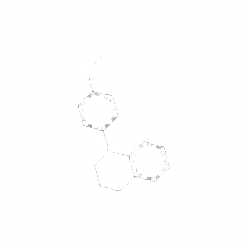 COc1ccc(N2CCCc3ccccc32)cc1